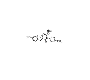 CN1CCC(N(C(=O)OC(C)(C)C)C(=O)C(N)Cc2ccc(C#N)cc2)CC1